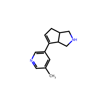 Cc1cncc(C2=CCC3CNCC23)c1